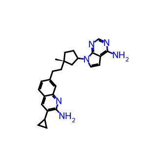 C[C@@]1(CCc2ccc3cc(C4CC4)c(N)nc3c2)CCC(n2ccc3c(N)ncnc32)C1